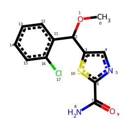 COC(c1cnc(C(N)=O)s1)c1ccccc1Cl